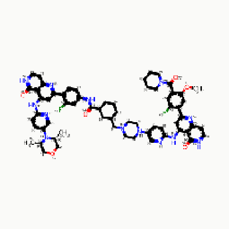 COc1cc(-c2cc(Nc3ccc(N4CCN(CC5CCCC(C(=O)Nc6ccc(-c7cc(Nc8ccc(N9[C@H](C)COC[C@H]9C)cn8)c8c(=O)[nH]ccc8n7)c(F)c6)C5)CC4)cn3)c3c(=O)[nH]ccc3n2)c(F)cc1C(=O)N1CCCCC1